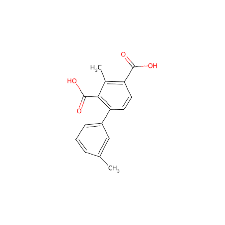 Cc1cccc(-c2ccc(C(=O)O)c(C)c2C(=O)O)c1